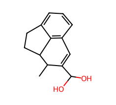 CC1C(C(O)O)=Cc2cccc3c2C1CC3